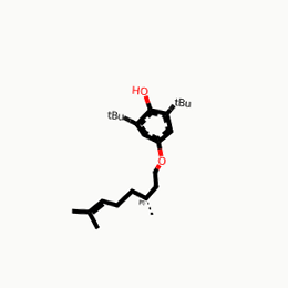 CC(C)=CCC[C@@H](C)CCOc1cc(C(C)(C)C)c(O)c(C(C)(C)C)c1